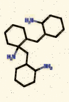 NC1CCCCC1CC1CCCCC1(N)CC1CCCCC1N